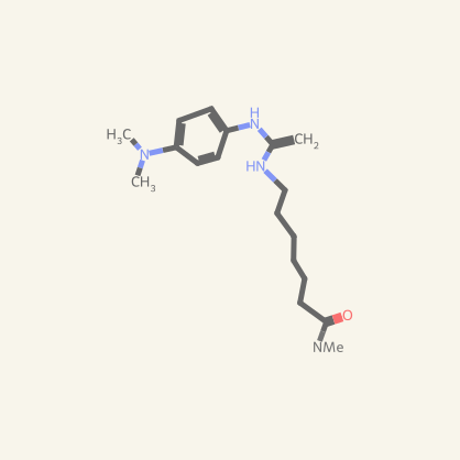 C=C(NCCCCCCC(=O)NC)Nc1ccc(N(C)C)cc1